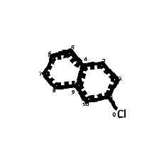 Clc1ccc2c[c]ccc2c1